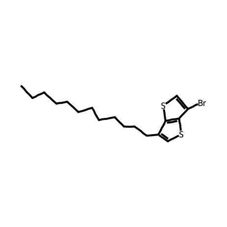 CCCCCCCCCCCCc1csc2c(Br)csc12